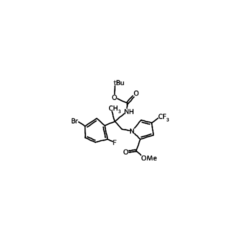 COC(=O)c1cc(C(F)(F)F)cn1CC(C)(NC(=O)OC(C)(C)C)c1cc(Br)ccc1F